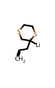 [Li][C]1(CC=C)CSCCS1